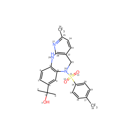 CC(C)(O)c1ccc2c(c1)N(S(=O)(=O)c1ccc(C(F)(F)F)cc1)Cc1ccc(C(F)(F)F)nc1N2